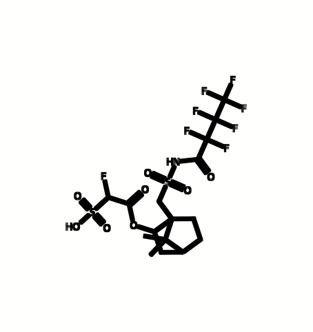 CC1(C)C2CCC1(CS(=O)(=O)NC(=O)C(F)(F)C(F)(F)C(F)(F)F)C(OC(=O)C(F)S(=O)(=O)O)C2